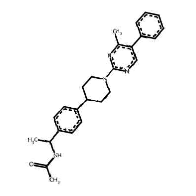 CC(=O)NC(C)c1ccc(C2CCN(c3ncc(-c4ccccc4)c(C)n3)CC2)cc1